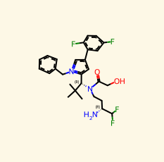 CC(C)(C)[C@H](c1cc(-c2cc(F)ccc2F)cn1Cc1ccccc1)N(CC[C@@H](N)C(F)F)C(=O)CO